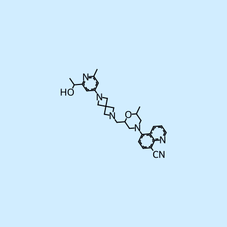 Cc1cc(N2CC3(CN(CC4CN(c5ccc(C#N)c6ncccc56)CC(C)O4)C3)C2)cc(C(C)O)n1